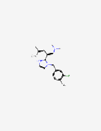 COc1ccc(CN2C=CNC2C(/C=C(/C)C=O)=C/N(C)C)cc1F